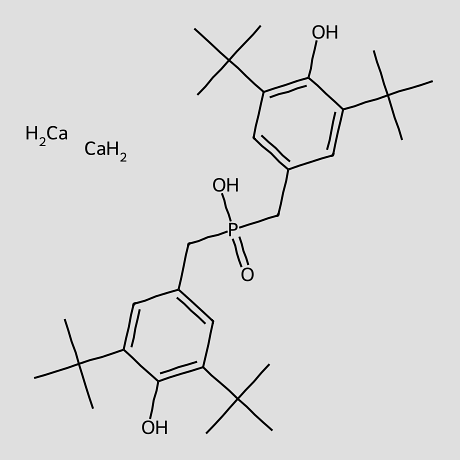 CC(C)(C)c1cc(CP(=O)(O)Cc2cc(C(C)(C)C)c(O)c(C(C)(C)C)c2)cc(C(C)(C)C)c1O.[CaH2].[CaH2]